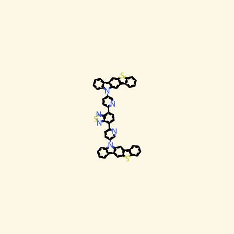 c1ccc2c(c1)sc1cc3c4ccccc4n(-c4ccc(-c5ccc(-c6ccc(-n7c8ccccc8c8cc9sc%10ccccc%10c9cc87)cn6)c6nsnc56)nc4)c3cc12